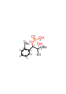 CCCCC(CC)C(OP(=O)(O)O)c1ccccc1C(C)(C)C